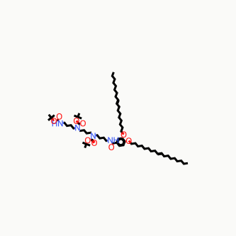 CCCCCCCCC=CCCCCCCCCOc1ccc(C(=O)NCCCCN(CCCCN(CCCCNC(=O)OC(C)(C)C)C(=O)OC(C)(C)C)C(=O)OC(C)(C)C)cc1OCCCCCCCCC=CCCCCCCCC